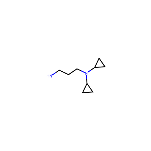 [NH]CCCN(C1CC1)C1CC1